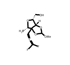 B[C@@H]1O[C@H](CO)[C@@H]2OC(OC)OC12C=C=C(F)F